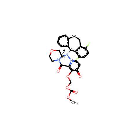 COC(=O)OCOc1c2n(ccc1=O)N([C@@H]1c3ccccc3[Se]Cc3c(F)ccc(F)c31)[C@@H]1COCCN1C2=O